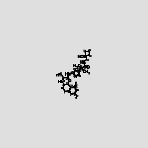 CCC[C@H](N[C@H]1CCc2cc(F)cc(F)c2C1)C(=O)Nc1cn(C(C)(C)C(=O)NCC2(O)CCC2)cn1